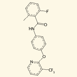 Cc1cccc(F)c1C(=O)Nc1ccc(Oc2ncccc2C(F)(F)F)cc1